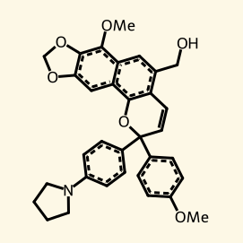 COc1ccc(C2(c3ccc(N4CCCC4)cc3)C=Cc3c(CO)cc4c(OC)c5c(cc4c3O2)OCO5)cc1